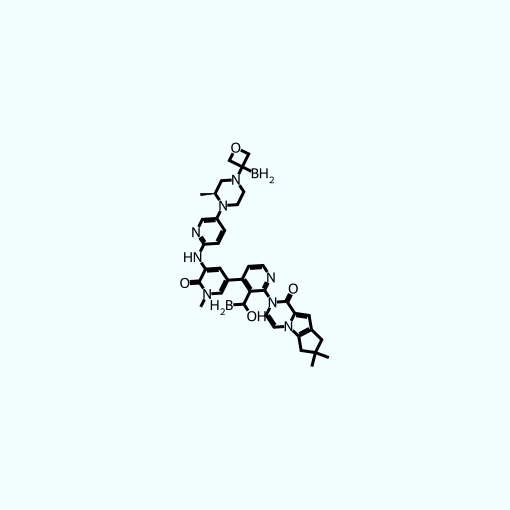 BC(O)c1c(-c2cc(Nc3ccc(N4CCN(C5(B)COC5)C[C@@H]4C)cn3)c(=O)n(C)c2)ccnc1-n1ccn2c3c(cc2c1=O)CC(C)(C)C3